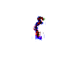 CC(=N)/C(C)=C(\N)Nc1ncnc2cc(OCCCN3CCN(C(=O)c4cnc(N5CCN(C[C@H]6CN[C@H](C)CN6CC(=O)N6CC(C)(C)c7ncc(Cc8ccc(F)cc8)cc76)[C@H](C)C5)nc4)CC3)c(S(=O)(=O)C(C)(C)C)cc12